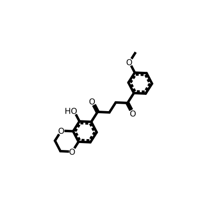 COc1cccc(C(=O)CCC(=O)c2ccc3c(c2O)OCCO3)c1